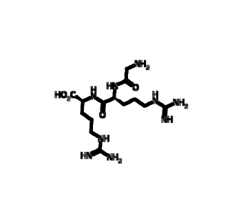 N=C(N)NCCC[C@H](NC(=O)[C@H](CCCNC(=N)N)NC(=O)CN)C(=O)O